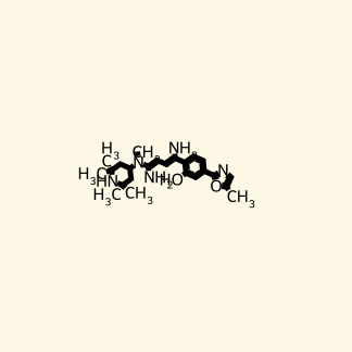 Cc1cnc(-c2ccc(/C(N)=C/C=C(\N)N(C)C3CC(C)(C)NC(C)(C)C3)c(O)c2)o1